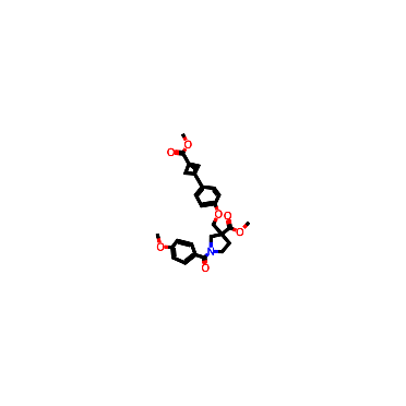 COC(=O)C1(COc2ccc(C34CC(C(=O)OC)(C3)C4)cc2)CCN(C(=O)c2ccc(OC)cc2)C1